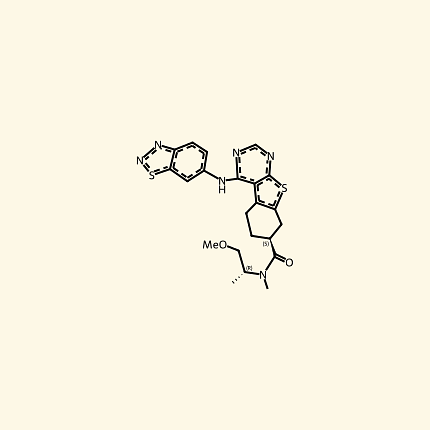 COC[C@@H](C)N(C)C(=O)[C@H]1CCc2c(sc3ncnc(Nc4ccc5nnsc5c4)c23)C1